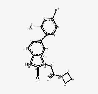 Cc1cc(F)ccc1-c1cnc2[nH]c(=O)n(CC(=O)N3CCC3)c2c1